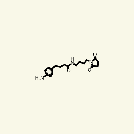 Nc1ccc(CCCC(=O)NCCCCN2C(=O)C=CC2=O)cc1